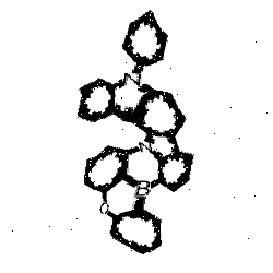 c1ccc(-n2c3ccccc3c3c2ccc2c4cccc5c4n(c23)-c2cccc3c2B5c2ccccc2O3)cc1